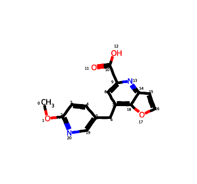 COc1ccc(Cc2cc(C(=O)O)nc3ccoc23)cn1